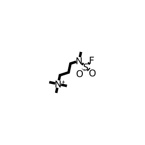 CN(CCC[N+](C)(C)C)S(=O)(=O)F